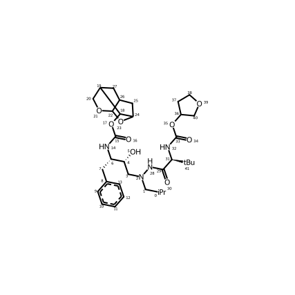 CC(C)CN(C[C@@H](O)[C@H](Cc1ccccc1)NC(=O)OC1C2COC3OC1CC3C2)NC(=O)[C@@H](NC(=O)OC1CCOC1)C(C)(C)C